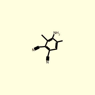 Cc1cc(C#N)c(C#N)c(C)c1N